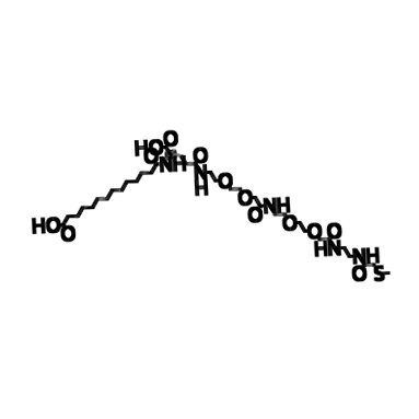 CSCC(=O)NCCNC(=O)COCCOCCNC(=O)COCCOCCNC(=O)CC[C@H](NC(=O)CCCCCCCCCCCCC(=O)O)C(=O)O